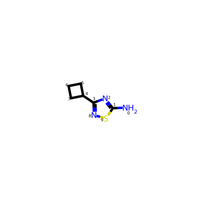 Nc1nc(C2CCC2)ns1